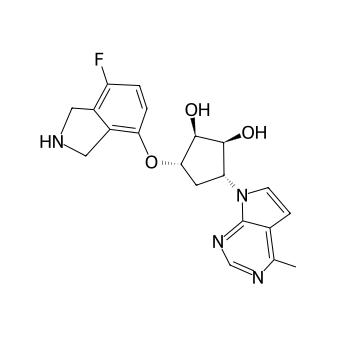 Cc1ncnc2c1ccn2[C@@H]1C[C@H](Oc2ccc(F)c3c2CNC3)[C@@H](O)[C@H]1O